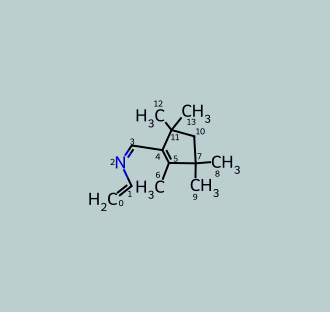 C=C/N=C\C1=C(C)C(C)(C)CC1(C)C